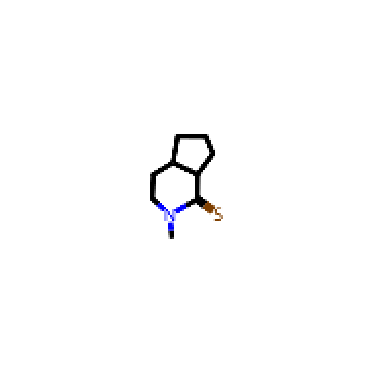 CN1CCC2CCCC2C1=S